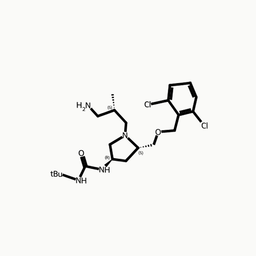 C[C@@H](CN)CN1C[C@H](NC(=O)NC(C)(C)C)C[C@H]1COCc1c(Cl)cccc1Cl